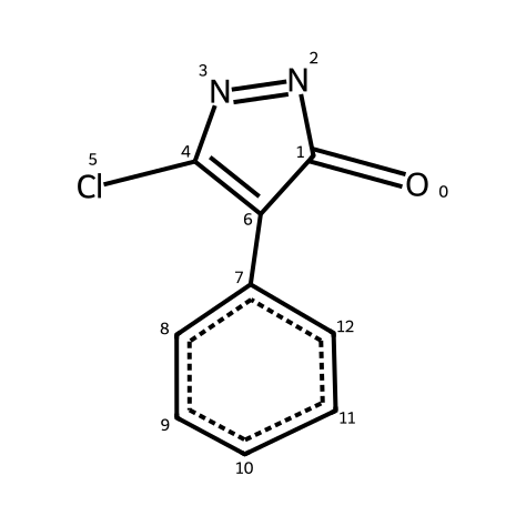 O=C1N=NC(Cl)=C1c1ccccc1